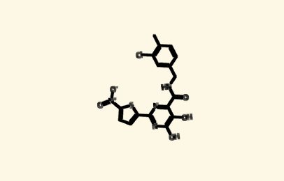 Cc1ccc(CNC(=O)c2nc(-c3ccc([N+](=O)[O-])s3)nc(O)c2O)cc1Cl